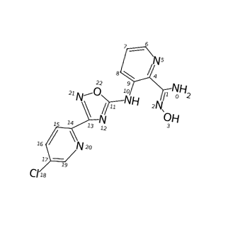 NC(=NO)c1ncccc1Nc1nc(-c2ccc(Cl)cn2)no1